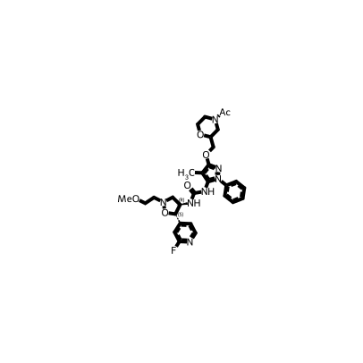 COCCN1C[C@@H](NC(=O)Nc2c(C)c(OCC3CN(C(C)=O)CCO3)nn2-c2ccccc2)[C@H](c2ccnc(F)c2)O1